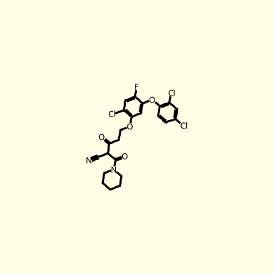 N#CC(C(=O)CCOc1cc(Oc2ccc(Cl)cc2Cl)c(F)cc1Cl)C(=O)N1CCCCC1